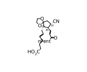 CCCCCC(=O)C=C[C@@H]1[C@@H](C#N)CC2(OCCO2)[C@H]1CC=CCCCC(=O)O